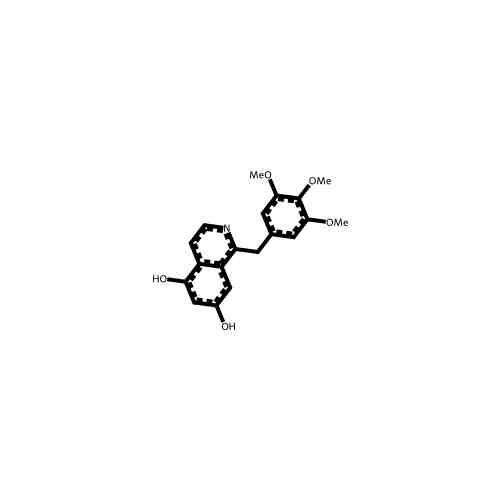 COc1cc(Cc2nccc3c(O)cc(O)cc23)cc(OC)c1OC